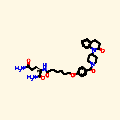 NC(=O)CC[C@H](NC(=O)CCCCCOc1ccc(C(=O)N2CCC(N3C(=O)CCc4ccccc43)CC2)cc1)C(N)=O